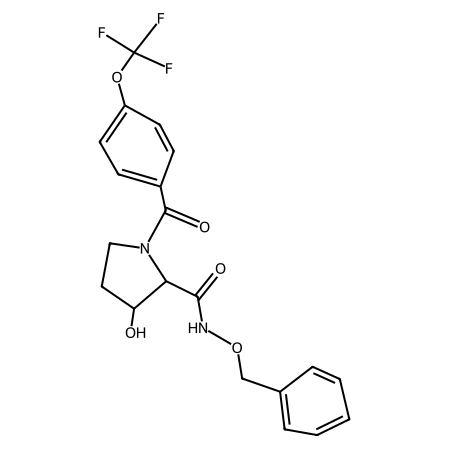 O=C(NOCc1ccccc1)C1C(O)CCN1C(=O)c1ccc(OC(F)(F)F)cc1